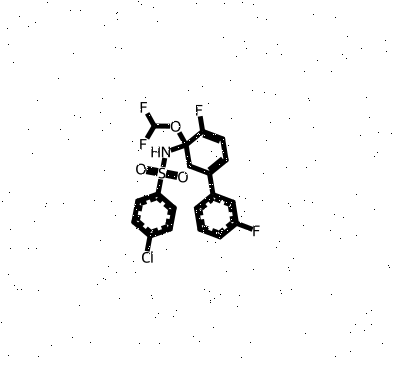 O=S(=O)(NC1(OC(F)F)CC(c2cccc(F)c2)=CC=C1F)c1ccc(Cl)cc1